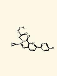 COC(=O)Cn1c(C2CC2)nc2ccc(-c3ccc(F)cc3)nc2c1=O